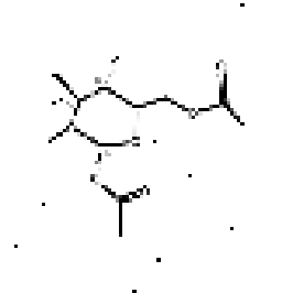 CC(=O)OCC1O[C@H](OC(C)=O)C(C)[C@@H](C)[C@@H]1C